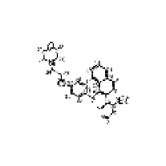 CCc1ccccc1-c1ccc2ccccc2c1Cc1ccc(OCCN2CCOCC2)cc1